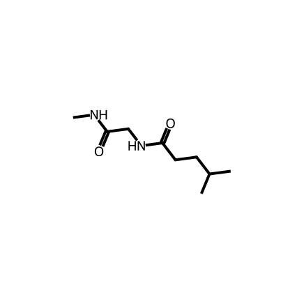 CNC(=O)CNC(=O)CCC(C)C